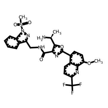 COc1ccc(-c2nc(C(=O)NCc3nn(S(C)(=O)=O)c4ccccc34)c([C@H](C)N)o2)c2ccc(C(F)(F)F)nc12